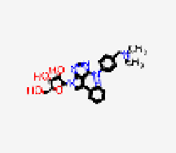 CN(C)Cc1ccc(Nc2ncnc3c2c(-c2ccccc2)cn3[C@@H]2O[C@@H](CO)[C@@H](O)[C@H]2O)cc1